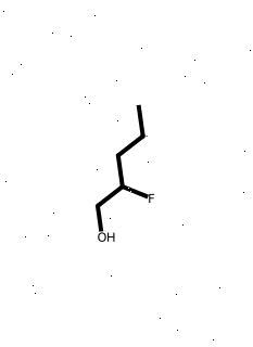 C[CH]CC(F)CO